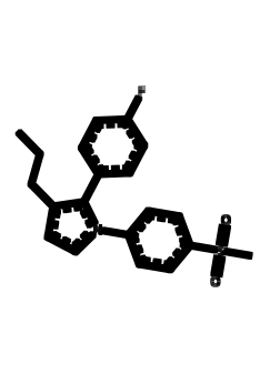 CCCc1ccn(-c2ccc(S(C)(=O)=O)cc2)c1-c1ccc(F)cc1